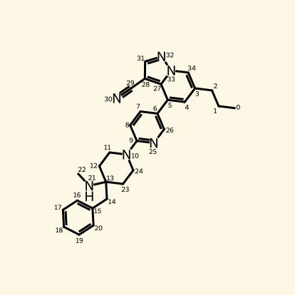 CCCc1cc(-c2ccc(N3CCC(Cc4ccccc4)(NC)CC3)nc2)c2c(C#N)cnn2c1